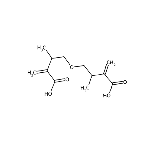 C=C(C(=O)O)C(C)COCC(C)C(=C)C(=O)O